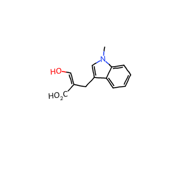 Cn1cc(CC(=CO)C(=O)O)c2ccccc21